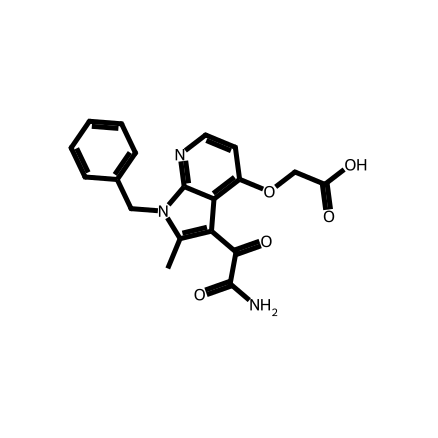 Cc1c(C(=O)C(N)=O)c2c(OCC(=O)O)ccnc2n1Cc1ccccc1